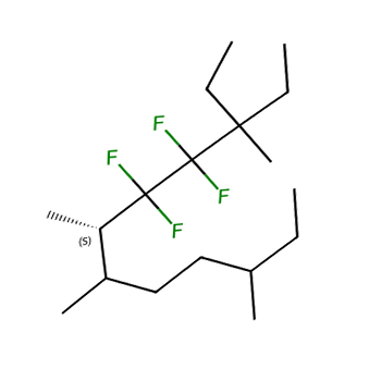 CCC(C)CCC(C)[C@H](C)C(F)(F)C(F)(F)C(C)(CC)CC